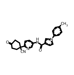 Cc1ccc(-n2ccc(C(=O)Nc3ccc(C4(C#N)CCC(=O)CC4)nc3)c2)cc1